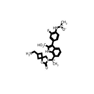 C[C@@H](c1cccc2c(-c3ccc(N[S+](C)[O-])c(F)c3)c(C(=O)O)[nH]c12)N1CC2(CC(CN)C2)OC1=O